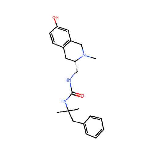 CN1Cc2cc(O)ccc2C[C@H]1CNC(=O)NC(C)(C)Cc1ccccc1